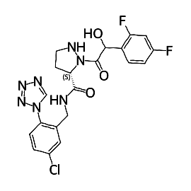 O=C(NCc1cc(Cl)ccc1-n1cnnn1)[C@@H]1CCNN1C(=O)C(O)c1ccc(F)cc1F